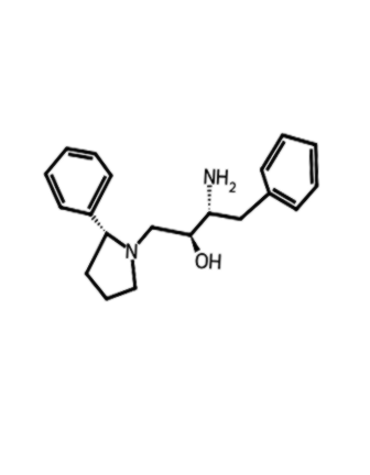 N[C@H](Cc1ccccc1)[C@@H](O)CN1CCC[C@@H]1c1ccccc1